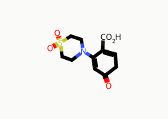 O=C1C=C(N2CCS(=O)(=O)CC2)C(C(=O)O)=CC1